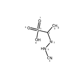 CC([N]NC#N)S(=O)(=O)O